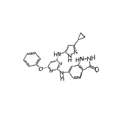 O=c1[nH][nH]c2cc(Nc3nc(Nc4cc(C5CC5)n[nH]4)cc(Oc4ccccc4)n3)ccc12